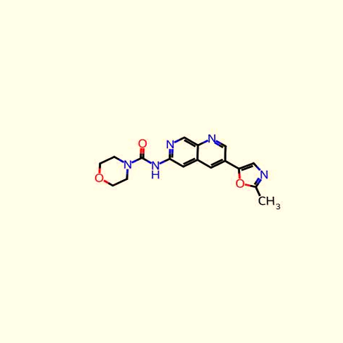 Cc1ncc(-c2cnc3cnc(NC(=O)N4CCOCC4)cc3c2)o1